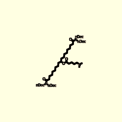 CCCCCCCCCCN(CCCCCCCCCC)C(=O)CCCCCCCCC(CCCCCCCCC(=O)N(CCCCCCCCCC)CCCCCCCCCC)OC(=O)CCCCN(C)C